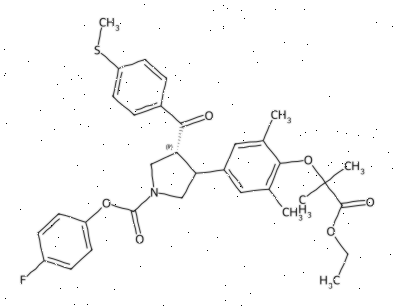 CCOC(=O)C(C)(C)Oc1c(C)cc(C2CN(C(=O)Oc3ccc(F)cc3)C[C@@H]2C(=O)c2ccc(SC)cc2)cc1C